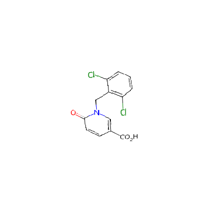 O=C(O)c1ccc(=O)n(Cc2c(Cl)cccc2Cl)c1